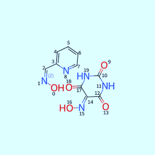 O/N=C\c1ccccn1.O=C1NC(=O)C(=NO)C(=O)N1